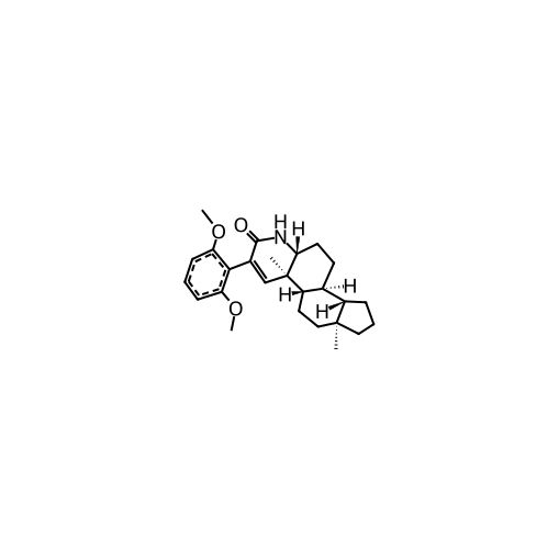 COc1cccc(OC)c1C1=C[C@@]2(C)[C@@H](CC[C@H]3[C@@H]4CCC[C@@]4(C)CC[C@@H]32)NC1=O